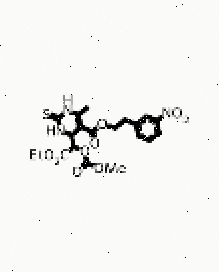 CCOC(=O)C(OC(=O)OC)C1NC(=S)NC(C)=C1C(=O)OCCc1cccc([N+](=O)[O-])c1